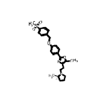 Cc1oc(-c2ccc(OCc3ccc(S(C)(=O)=O)cc3)cc2)nc1CCN1CCC[C@H]1C